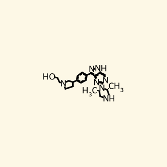 C[C@@H]1CNC[C@H](C)N1c1ncc2[nH]nc(-c3ccc(C4CCN(CCO)C4)cc3)c2n1